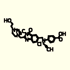 C#CCN(Cc1cc2c(=O)n(C)c(CN3CCN(CCO)CC3)nc2cc1Cl)c1ccc(C(=O)O)cc1